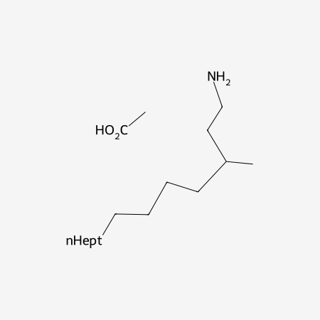 CC(=O)O.CCCCCCCCCCCC(C)CCN